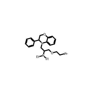 CCN(CC)C(COCCC(C)C)CN1c2ccccc2OCC1c1ccccc1